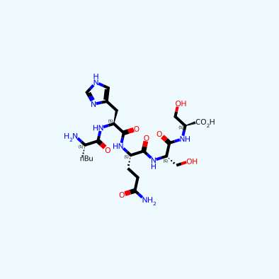 CCCC[C@H](N)C(=O)N[C@@H](Cc1c[nH]cn1)C(=O)N[C@@H](CCC(N)=O)C(=O)N[C@@H](CO)C(=O)N[C@@H](CO)C(=O)O